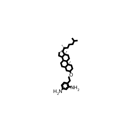 CC(C)CCC[C@@H](C)[C@H]1CCC2C3CCC4CC(OCCc5ccc(N)cc5N)CC[C@]4(C)C3CC[C@@]21C